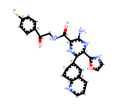 Nc1nc(-c2ncco2)c(-c2ccc3ncccc3c2)nc1C(=O)NCC(=O)c1ccc(F)cc1